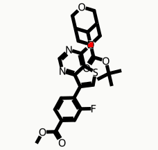 COC(=O)c1ccc(-c2csc3c(OC4C5COCC4CN(C(=O)OC(C)(C)C)C5)ncnc23)c(F)c1